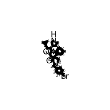 O=C(C1CC1)C([C@@H]1CNC[C@@H]1c1ccccc1)N1CCC2(CCN(Cc3ccc(Br)cc3)C2=O)CC1